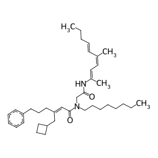 CCC/C=C/C(C)=C\C=C(/C)NC(=O)CN(CCCCCCCC)C(=O)/C=C(/CCCc1ccccc1)CC1CCC1